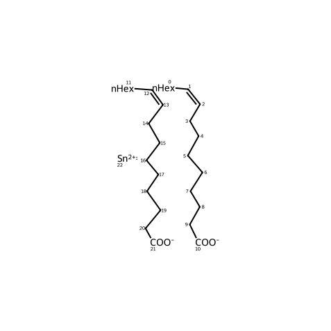 CCCCCC/C=C\CCCCCCCC(=O)[O-].CCCCCC/C=C\CCCCCCCC(=O)[O-].[Sn+2]